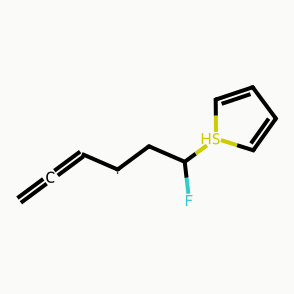 C=C=C[CH]CC(F)[SH]1C=CC=C1